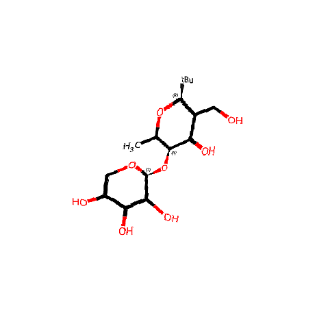 CC1O[C@@H](C(C)(C)C)C(CO)C(O)[C@H]1O[C@@H]1OCC(O)C(O)C1O